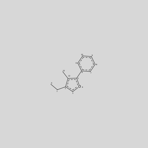 CCc1coc(-c2ccccc2)c1C